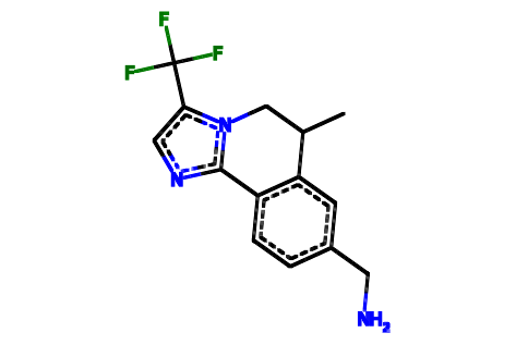 CC1Cn2c(C(F)(F)F)cnc2-c2ccc(CN)cc21